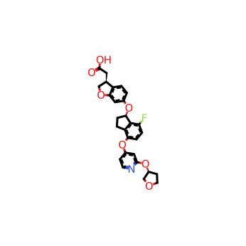 O=C(O)C[C@@H]1COc2cc(O[C@@H]3CCc4c(Oc5ccnc(O[C@H]6CCOC6)c5)ccc(F)c43)ccc21